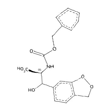 O=C(N[C@H](C(=O)O)C(O)c1ccc2c(c1)OOC2)OCc1ccccc1